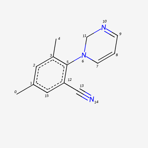 Cc1cc(C)c(N2C=CC=NC2)c(C#N)c1